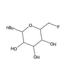 CCCCC1OC(CF)C(O)C(O)C1O